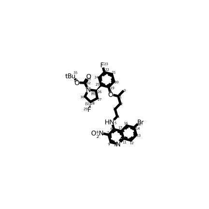 CC(CCCNc1c([N+](=O)[O-])cnc2ccc(Br)cc12)Oc1ccc(F)cc1[C@H]1C[C@H](F)CN1C(=O)OC(C)(C)C